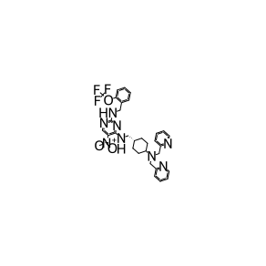 O=[N+]([O-])c1cnc(NCc2ccccc2OC(F)(F)F)nc1NC[C@H]1CC[C@H](N(Cc2ccccn2)Cc2ccccn2)CC1